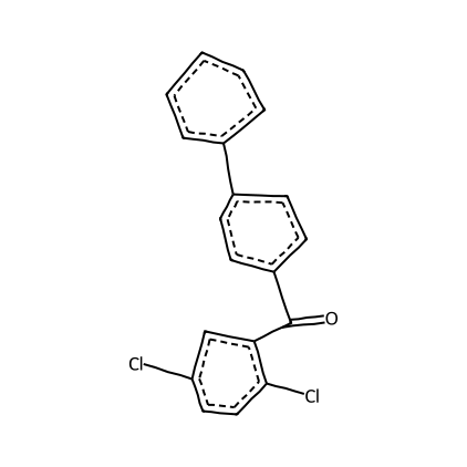 O=C(c1ccc(-c2ccccc2)cc1)c1cc(Cl)ccc1Cl